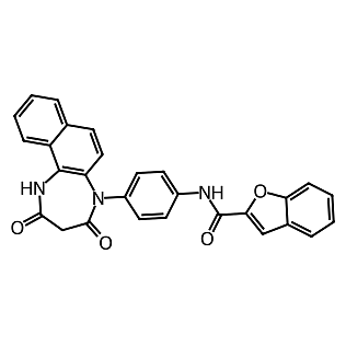 O=C1CC(=O)N(c2ccc(NC(=O)c3cc4ccccc4o3)cc2)c2ccc3ccccc3c2N1